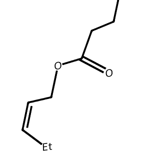 CC/C=C\COC(=O)CCCCCCCC